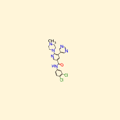 CN1CCN(c2ncc(C(=O)Nc3ccc(Cl)c(Cl)c3)cc2-c2cncnc2)CC1